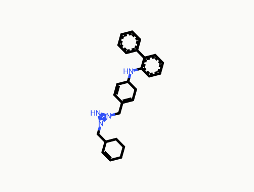 C1=CC(Cn2[nH]n2CC2=CCC(Nc3ccccc3-c3ccccc3)C=C2)CCC1